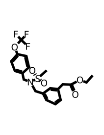 CCOC(=O)Cc1cccc(CN(Cc2ccc(OC(F)(F)F)cc2)S(C)(=O)=O)c1